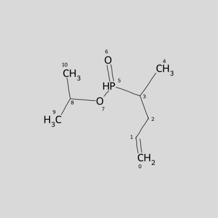 C=CCC(C)[PH](=O)OC(C)C